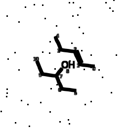 C/C=C/CC.CCC(O)CC